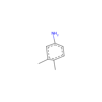 [CH2]c1cc(N)ccc1C